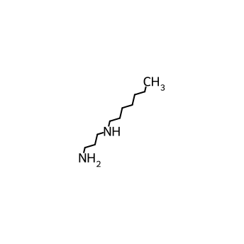 CCCCCCCNCCCN